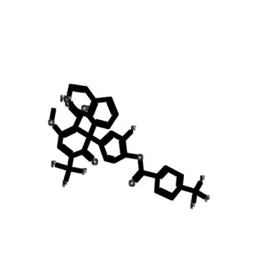 COC1=C(C(=O)O)C(c2ccc(OC(=O)c3ccc(C(F)(F)F)cc3)c(F)c2)(c2cccc3c2CNC=C3)C(=O)C(C(F)(F)F)=C1